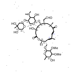 CC[C@H]1OC(=O)C[C@@H](O)[C@H](C)[C@@H](O[C@@H]2O[C@H](C)[C@@H](O[C@H]3CC(C)(O)[C@@H](O)[C@@H](C)O3)C(N(C)C)C2O)[C@@H](CC=O)C[C@@H](C)C(=O)/C=C/C(C)=C/[C@@H]1CO[C@@H]1OC(C)[C@@H](O)C(OC)C1OC